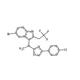 CN(c1nc(-c2ccc(Cl)cc2)cs1)c1c(CC(F)(F)F)nc2ccc(Br)cn12